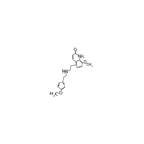 COc1ccc(CCNCCc2ccc(OC)c3[nH]c(=O)ccc23)cc1